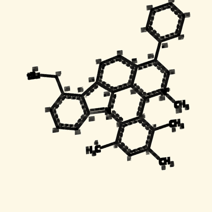 Cc1cc(C)c2c(c1C)c1c3c(ccc4c5c(CC(C)(C)C)cccc5n2c43)c(-c2ccccc2)c[n+]1C